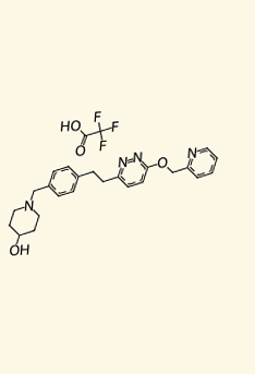 O=C(O)C(F)(F)F.OC1CCN(Cc2ccc(CCc3ccc(OCc4ccccn4)nn3)cc2)CC1